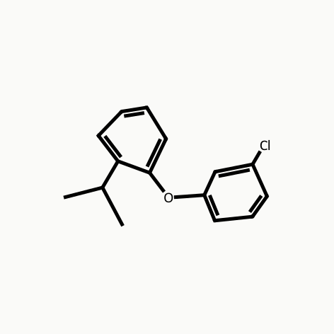 CC(C)c1ccccc1Oc1cccc(Cl)c1